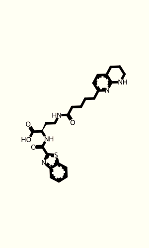 O=C(CCCCc1ccc2c(n1)NCCC2)NCC[C@@H](NC(=O)c1nc2ccccc2s1)C(=O)O